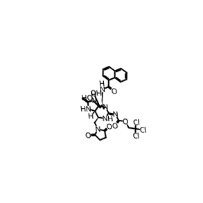 C=C1N[C@H]2[C@H](CN3C(=O)CCC3=O)N/C(=N\C(=O)OCC(Cl)(Cl)Cl)N3C[C@H](NC(=O)c4cccc5ccccc45)C(O)(O)[C@]23N1